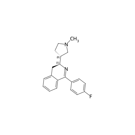 CN1CC[C@@H]([C@@H]2Cc3ccccc3C(c3ccc(F)cc3)=N2)C1